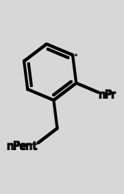 CCCCCCc1ccc[c]c1CCC